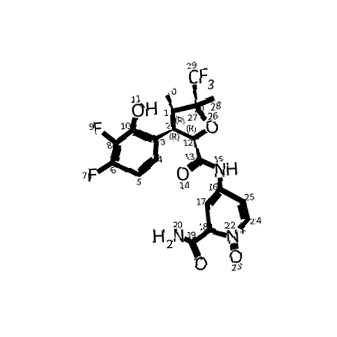 C[C@@H]1[C@H](c2ccc(F)c(F)c2O)[C@H](C(=O)NC2=CC(C(N)=O)[N+](=O)C=C2)O[C@]1(C)C(F)(F)F